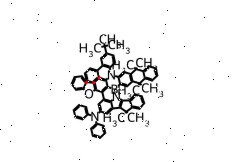 CC(C)(C)c1ccc(N2c3cc4c(cc3B3c5c2cc2c(oc6ccccc62)c5-c2cc(N(c5ccccc5)c5ccccc5)cc5c6c(n3c25)-c2ccccc2C6(C)C)C(C)(C)c2ccccc2C4(C)C)c(-c2ccccc2)c1